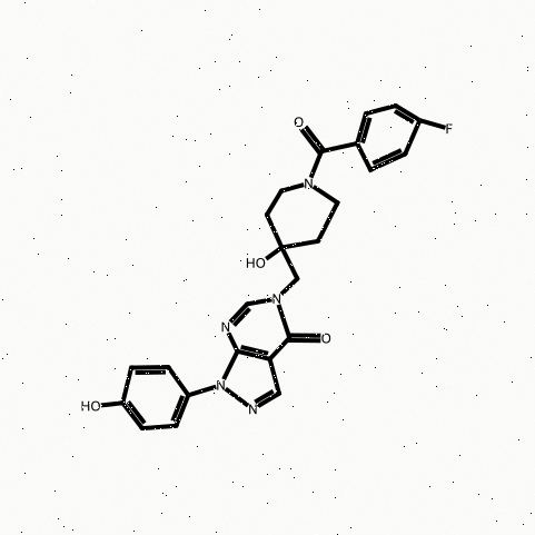 O=C(c1ccc(F)cc1)N1CCC(O)(Cn2cnc3c(cnn3-c3ccc(O)cc3)c2=O)CC1